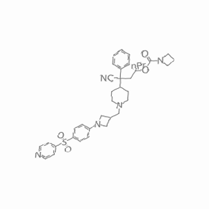 CCC[C@H](CC(C#N)(c1ccccc1)C1CCN(CC2CN(c3ccc(S(=O)(=O)c4ccncc4)cc3)C2)CC1)OC(=O)N1CCC1